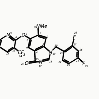 CNc1cc2c(cc1Oc1ncccc1C(F)(F)F)c(=O)ncn2Cc1ccc(F)cc1F